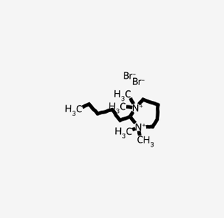 CCCCCC1[N+](C)(C)CCCC[N+]1(C)C.[Br-].[Br-]